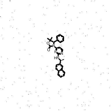 C[C@H](Nc1nccc(N2C(=O)OC(C)(C)C2c2ccccc2)n1)c1ccc2ccccc2c1